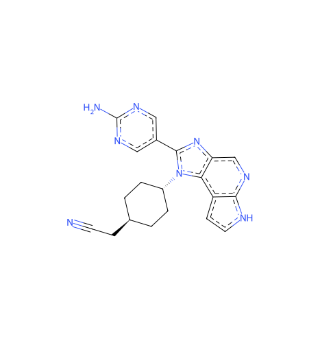 N#CC[C@H]1CC[C@H](n2c(-c3cnc(N)nc3)nc3cnc4[nH]ccc4c32)CC1